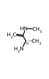 C=C(NC)[C@H](C)N